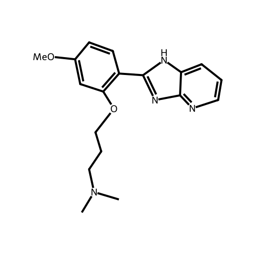 COc1ccc(-c2nc3ncccc3[nH]2)c(OCCCN(C)C)c1